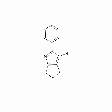 CC1Cc2c(I)c(-c3ccccc3)nn2C1